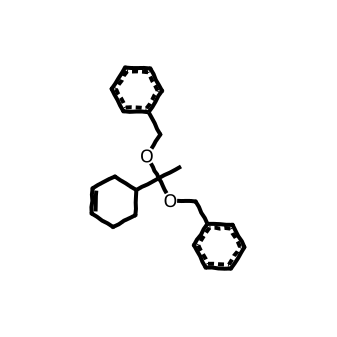 CC(OCc1ccccc1)(OCc1ccccc1)C1CC=CCC1